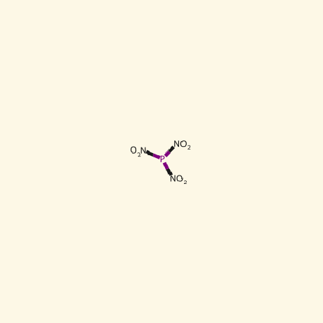 O=[N+]([O-])P([N+](=O)[O-])[N+](=O)[O-]